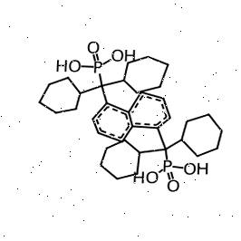 O=P(O)(O)C(c1cccc2c(C(C3CCCCC3)(C3CCCCC3)P(=O)(O)O)cccc12)(C1CCCCC1)C1CCCCC1